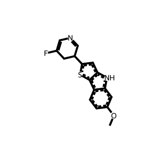 COc1ccc2c(c1)[nH]c1cc(C3C=NC=C(F)C3)sc12